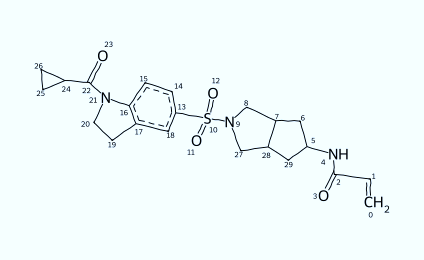 C=CC(=O)NC1CC2CN(S(=O)(=O)c3ccc4c(c3)CCN4C(=O)C3CC3)CC2C1